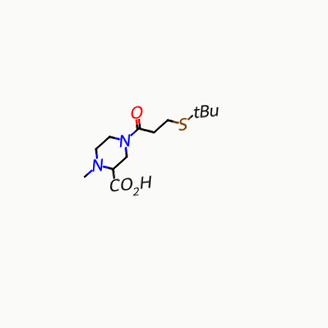 CN1CCN(C(=O)CCSC(C)(C)C)CC1C(=O)O